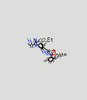 CCOC(=O)c1c(N)c(C2CCCC2)nn1-c1ccc(CNC(=O)c2cc(F)ccc2OC)cc1